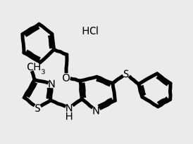 Cc1csc(Nc2ncc(Sc3ccccc3)cc2OCc2ccccc2)n1.Cl